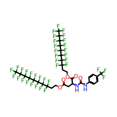 O=C(Nc1ccc(C(F)(F)F)cc1)NC(CC(=O)OCCC(F)(F)C(F)(F)C(F)(F)C(F)(F)C(F)(F)C(F)(F)C(F)(F)C(F)(F)F)C(=O)OCCC(F)(F)C(F)(F)C(F)(F)C(F)(F)C(F)(F)C(F)(F)C(F)(F)C(F)(F)F